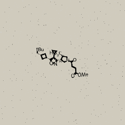 COC(=O)CCC(=O)N1C[C@H](C(=O)O)[C@@H](c2noc([C@H]3C[C@@H](CC(C)(C)C)C3)c2C2CC2)C1